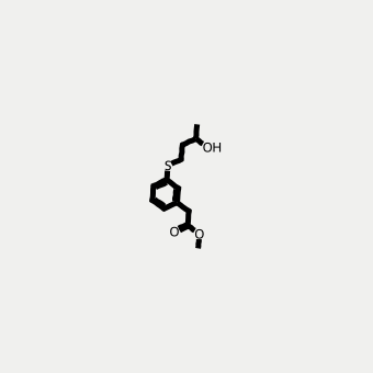 COC(=O)Cc1cccc(SCCC(C)O)c1